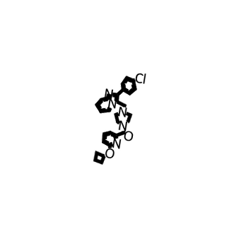 O=C(c1cccc(OC2CCC2)n1)N1CCN(Cc2c(-c3ccc(Cl)cc3)nc3ccccn23)CC1